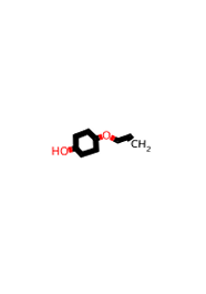 C=CCOC1CCC(O)CC1